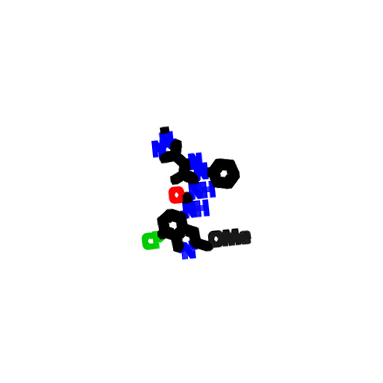 COCc1cc2c(NC(=O)Nc3c(C)c(-c4cnn(C)c4)nn3-c3ccccc3)ccc(Cl)c2cn1